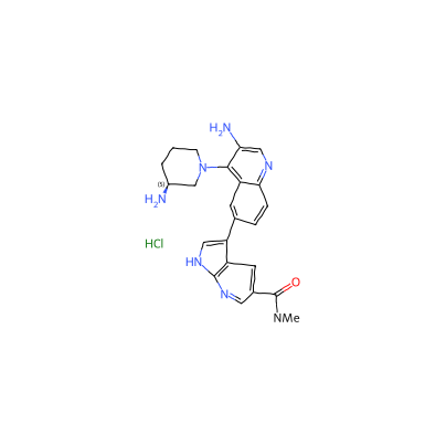 CNC(=O)c1cnc2[nH]cc(-c3ccc4ncc(N)c(N5CCC[C@H](N)C5)c4c3)c2c1.Cl